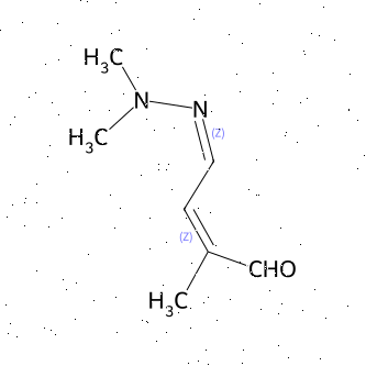 C/C(C=O)=C/C=N\N(C)C